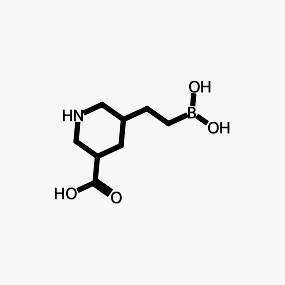 O=C(O)C1CNCC(CCB(O)O)C1